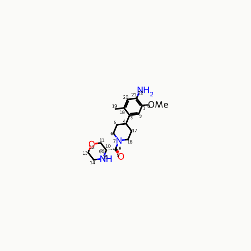 COc1cc(C2CCN(C(=O)[C@H]3COCCN3)CC2)c(C)cc1N